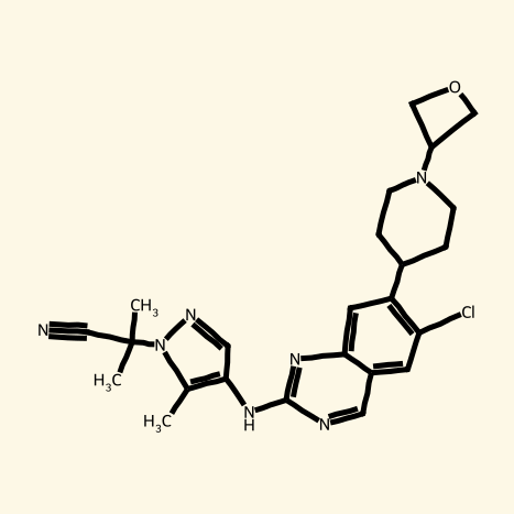 Cc1c(Nc2ncc3cc(Cl)c(C4CCN(C5COC5)CC4)cc3n2)cnn1C(C)(C)C#N